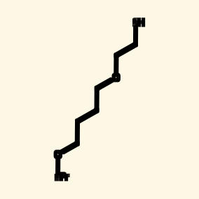 CCCOCCCCOCCS